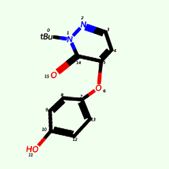 CC(C)(C)n1nccc(Oc2ccc(O)cc2)c1=O